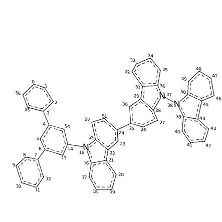 c1ccc(-c2cc(-c3ccccc3)cc(-n3c4ccccc4c4cc(-c5ccc6c(c5)c5ccccc5n6-n5c6ccccc6c6ccccc65)ccc43)c2)cc1